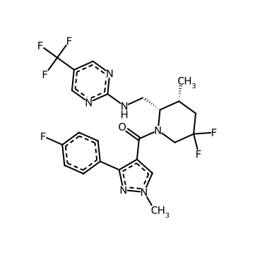 C[C@@H]1CC(F)(F)CN(C(=O)c2cn(C)nc2-c2ccc(F)cc2)[C@@H]1CNc1ncc(C(F)(F)F)cn1